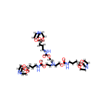 O=C(NCCC[Si]12OCCN(CCO1)CCO2)OCCN(CCOC(=O)NCCC[Si]12OCCN(CCO1)CCO2)CCOC(=O)NCCC[Si]12OCCN(CCO1)CCO2